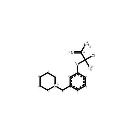 CCCC(Cl)(Oc1cccc(CN2CCCCC2)c1)C(N)=O